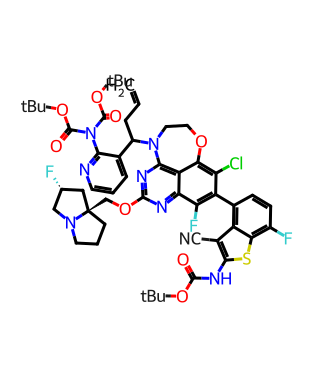 C=CCC(c1cccnc1N(C(=O)OC(C)(C)C)C(=O)OC(C)(C)C)N1CCOc2c(Cl)c(-c3ccc(F)c4sc(NC(=O)OC(C)(C)C)c(C#N)c34)c(F)c3nc(OC[C@@]45CCCN4C[C@H](F)C5)nc1c23